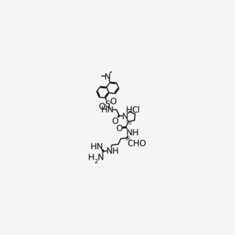 CN(C)c1cccc2c(S(=O)(=O)NCC(=O)N3CCC[C@H]3C(=O)N[C@H](C=O)CCCNC(=N)N)cccc12.Cl